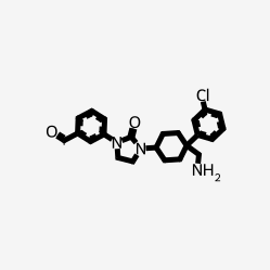 NCC1(c2cccc(Cl)c2)CCC(N2CCN(c3cccc([C]=O)c3)C2=O)CC1